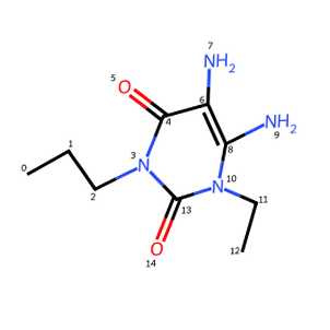 CCCn1c(=O)c(N)c(N)n(CC)c1=O